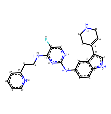 Fc1cnc(Nc2ccc3[nH]cc(C4=CCNCC4)c3c2)nc1NCCc1ccccn1